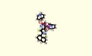 CC(C)(C)OC(=O)N1C2CCC1CN(c1nc(OCC34CCCN3CCC4)nc3c(F)c(-c4cccc5cccc(F)c45)ncc13)C2